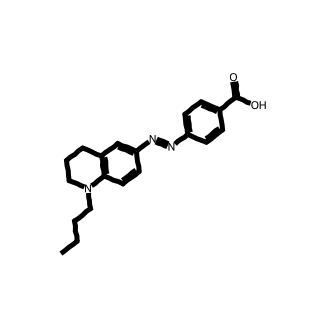 CCCCN1CCCc2cc(/N=N/c3ccc(C(=O)O)cc3)ccc21